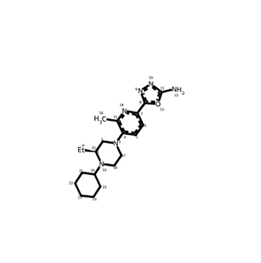 CC[C@H]1CN(c2ccc(-c3nnc(N)o3)nc2C)CCN1C1CCCCC1